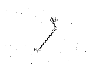 CCCCCCCCCCCCCCCSC=C=CCCCC(=O)OC